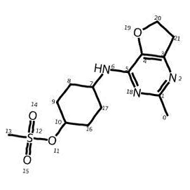 Cc1nc2c(c(NC3CCC(OS(C)(=O)=O)CC3)n1)OCC2